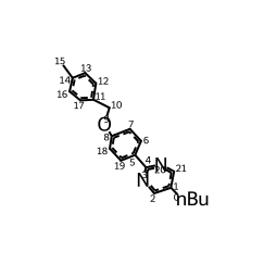 CCCCc1cnc(-c2ccc(OCc3ccc(C)cc3)cc2)nc1